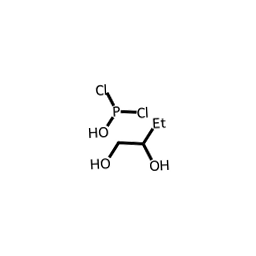 CCC(O)CO.OP(Cl)Cl